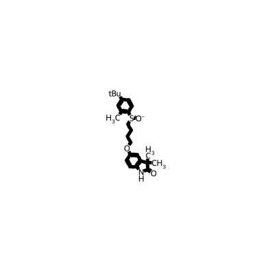 Cc1cc(C(C)(C)C)ccc1[S+]([O-])CCCCOc1ccc2c(c1)C(C)(C)C(=O)N2